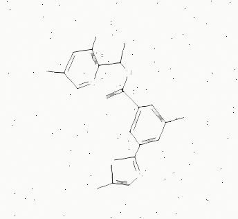 Cc1cnc(-c2cc(O)cc(C(=O)NC(C)c3ncc(Cl)cc3F)c2)s1